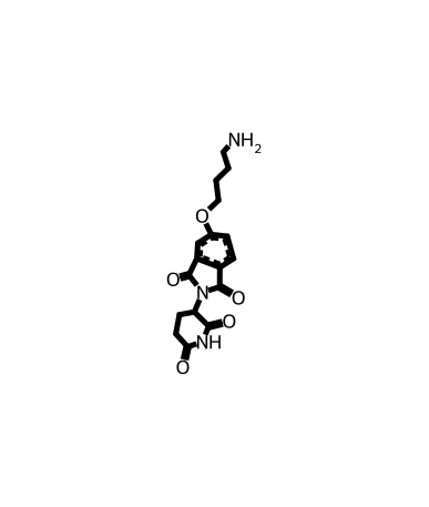 NCCCCOc1ccc2c(c1)C(=O)N(C1CCC(=O)NC1=O)C2=O